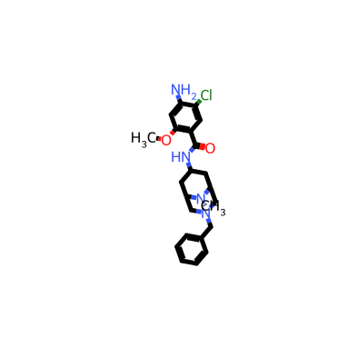 COc1cc(N)c(Cl)cc1C(=O)NC1CC2CN(Cc3ccccc3)CC(C1)N2C